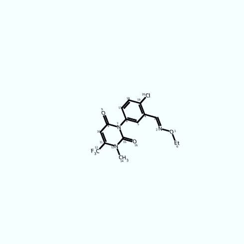 CCO/N=C/c1cc(-n2c(=O)cc(C(F)(F)F)n(C)c2=O)ccc1Cl